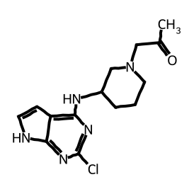 CC(=O)CN1CCCC(Nc2nc(Cl)nc3[nH]ccc23)C1